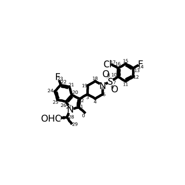 Cc1c(C2CCN(S(=O)(=O)c3ccc(F)cc3Cl)CC2)c2cc(F)ccc2n1C(C)C=O